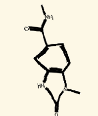 CNC(=O)c1ccc2c(c1)[nH]c(=O)n2C